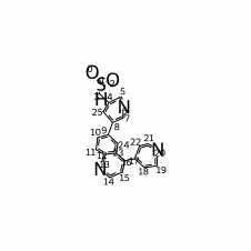 O=[SH](=O)Cc1cncc(-c2ccc3nccc(-c4ccncc4)c3c2)c1